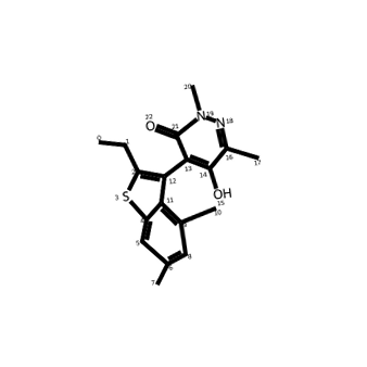 CCc1sc2cc(C)cc(C)c2c1-c1c(O)c(C)nn(C)c1=O